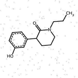 CCCN1CCCC(c2cccc(O)c2)C1=O